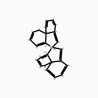 C1=CCC23C=CC=CC2=C[Si]2(C=C4C=CC=CC45CC=CC=C52)C3=C1